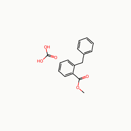 COC(=O)c1ccccc1Cc1ccccc1.O=C(O)O